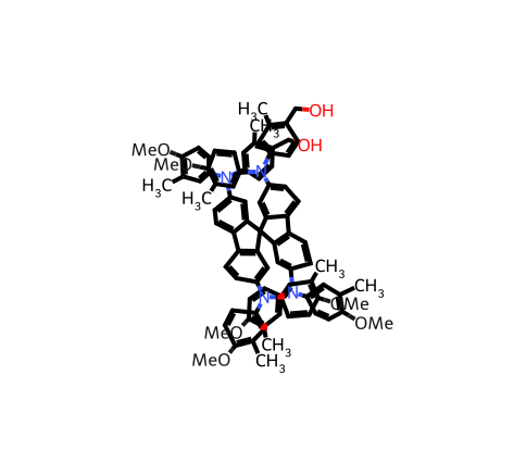 COc1ccc(N(c2ccc(CO)c(C)c2)c2ccc3c(c2)C2(c4cc(N(c5ccc(CO)c(C)c5)c5ccc(OC)c(C)c5)ccc4-c4ccc(N(c5ccc(OC)c(C)c5)c5ccc(OC)c(C)c5)cc42)c2cc(N(c4ccc(OC)c(C)c4)c4ccc(OC)c(C)c4)ccc2-3)cc1C